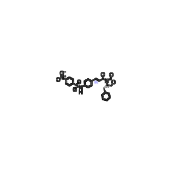 O=C(/C=C/c1ccc(NS(=O)(=O)c2ccc([N+](=O)[O-])cc2)cc1)N1C(=O)OC[C@@H]1Cc1ccccc1